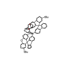 CC(C)(C)c1ccc2c(c1)C1(c3cc(C(C)(C)C)ccc3O2)c2ccccc2-c2ccc(N(c3ccc4c(c3)C3(c5ccccc5-4)c4cc(C(C)(C)C)ccc4-c4ccc(C(C)(C)C)cc43)c3cccc4ccccc34)cc21